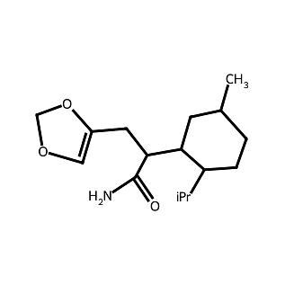 CC1CCC(C(C)C)C(C(CC2=COCO2)C(N)=O)C1